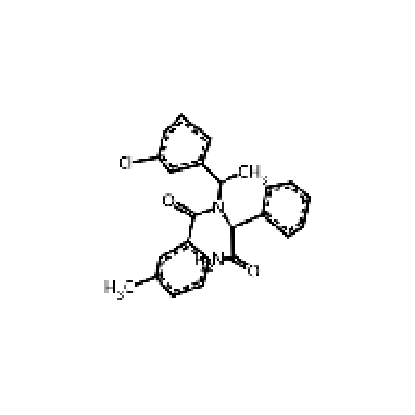 Cc1cccc(C(=O)N([C@H](C)c2cccc(Cl)c2)[C@H](C(N)=O)c2ccccc2)c1